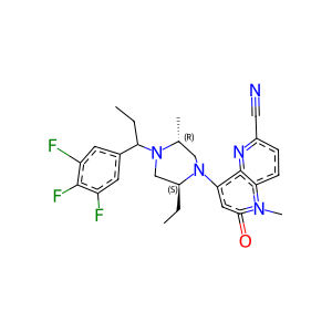 CCC(c1cc(F)c(F)c(F)c1)N1C[C@H](CC)N(c2cc(=O)n(C)c3ccc(C#N)nc23)C[C@H]1C